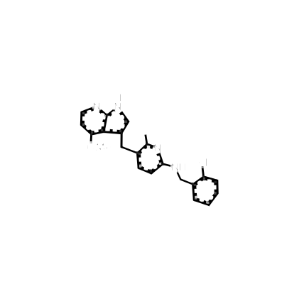 COc1ccnc2[nH]cc(Cc3ccc(NCc4ccccc4Cl)nc3F)c12